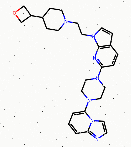 c1cc(N2CCN(c3ccc4ccn(CCN5CCC(C6COC6)CC5)c4n3)CC2)n2ccnc2c1